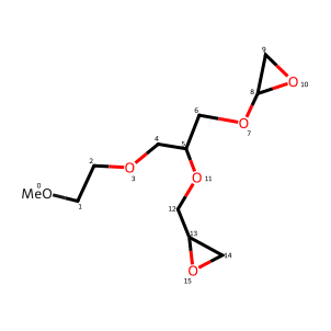 COCCOCC(COC1CO1)OCC1CO1